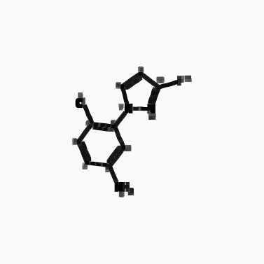 Nc1ccc(Cl)c(-n2ccc(F)n2)c1